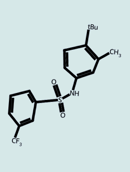 Cc1cc(NS(=O)(=O)c2cccc(C(F)(F)F)c2)ccc1C(C)(C)C